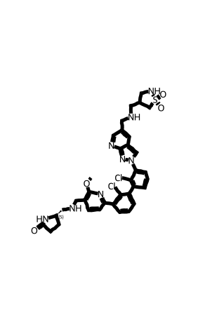 COc1nc(-c2cccc(-c3cccc(-n4cc5cc(CNCC6CNS(=O)(=O)C6)cnc5n4)c3Cl)c2Cl)ccc1CNC[C@@H]1CCC(=O)N1